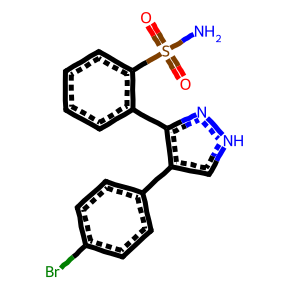 NS(=O)(=O)c1ccccc1-c1n[nH]cc1-c1ccc(Br)cc1